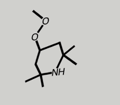 COOC1CC(C)(C)NC(C)(C)C1